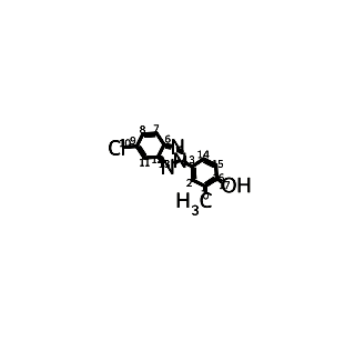 Cc1cc(-n2nc3ccc(Cl)cc3n2)ccc1O